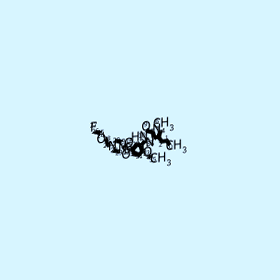 CCCc1cn(C)c2c(=O)[nH]c(-c3cc(S(=O)(=O)N4CCN(CCOCCF)CC4)ccc3OCC)nc12